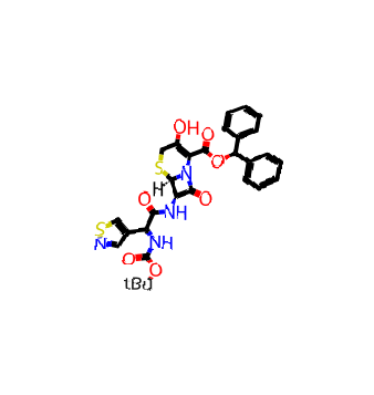 CC(C)(C)OC(=O)NC(C(=O)N[C@@H]1C(=O)N2C(C(=O)OC(c3ccccc3)c3ccccc3)=C(O)CS[C@H]12)c1cnsc1